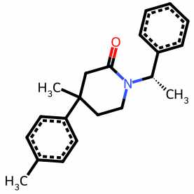 Cc1ccc(C2(C)CCN([C@@H](C)c3ccccc3)C(=O)C2)cc1